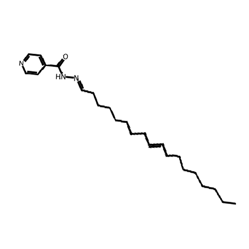 CCCCCCCC/C=C/CCCCCCC/C=N/NC(=O)c1ccncc1